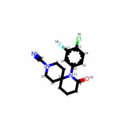 N#CN1CCC2(CCCC(=O)N2c2ccc(Cl)c(F)c2)CC1